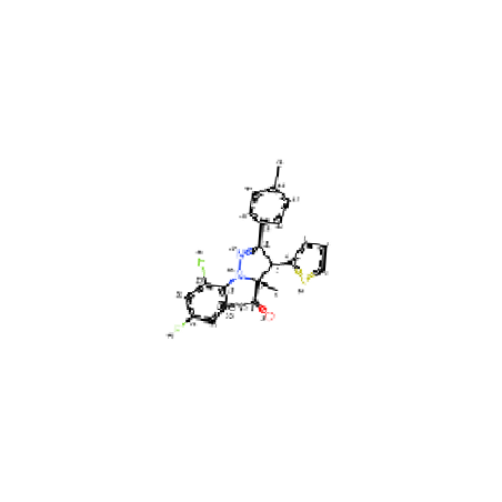 CNC(=O)C1(C)C(c2cccs2)C(c2ccc(C)cc2)=NN1c1ccc(F)cc1F